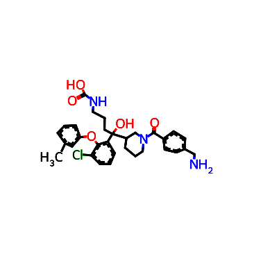 Cc1cccc(Oc2c(Cl)cccc2C(O)(CCCNC(=O)O)C2CCCN(C(=O)c3ccc(CN)cc3)C2)c1